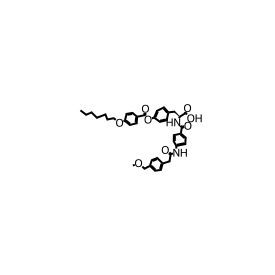 CCCCCCCOc1ccc(C(=O)Oc2ccc(C[C@H](NC(=O)c3ccc(NC(=O)Cc4ccc(COC)cc4)cc3)C(=O)O)cc2)cc1